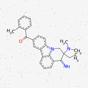 CCC1(N(C)C)Cn2c3ccc(C(=O)c4ccccc4C)cc3c3cccc(c32)C1=N